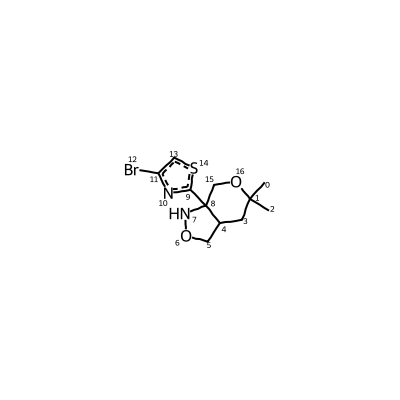 CC1(C)CC2CONC2(c2nc(Br)cs2)CO1